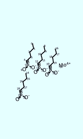 CCCCC[PH](=O)[O-].CCCCC[PH](=O)[O-].CCCCC[PH](=O)[O-].CCCCC[PH](=O)[O-].[Mo+4]